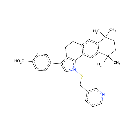 CC1(C)CCC(C)(C)c2cc3c(cc21)CCc1c(-c2ccc(C(=O)O)cc2)cn(SCc2cccnc2)c1-3